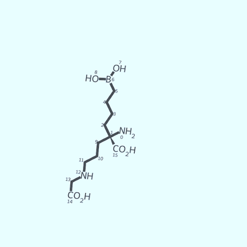 N[C@@](CCCCB(O)O)(CCCNCC(=O)O)C(=O)O